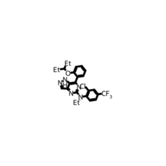 CCC(CC)Oc1ccccc1-c1nc(N(CC)c2ccc(C(F)(F)F)cc2Cl)nc2cn[nH]c12